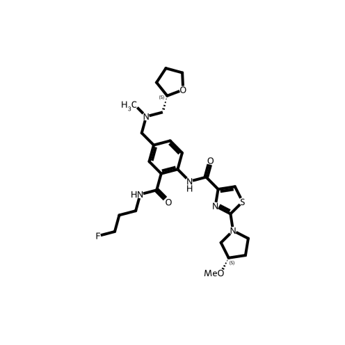 CO[C@H]1CCN(c2nc(C(=O)Nc3ccc(CN(C)C[C@@H]4CCCO4)cc3C(=O)NCCCF)cs2)C1